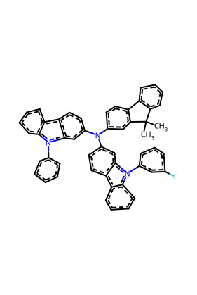 CC1(C)c2ccccc2-c2ccc(N(c3ccc4c5ccccc5n(-c5ccccc5)c4c3)c3ccc4c5ccccc5n(-c5cccc(F)c5)c4c3)cc21